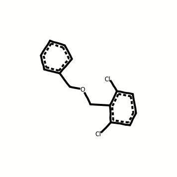 Clc1cccc(Cl)c1COCc1ccccc1